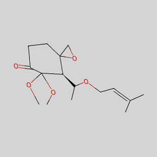 COC1(OC)C(=O)CCC2(CO2)[C@H]1C(C)OCC=C(C)C